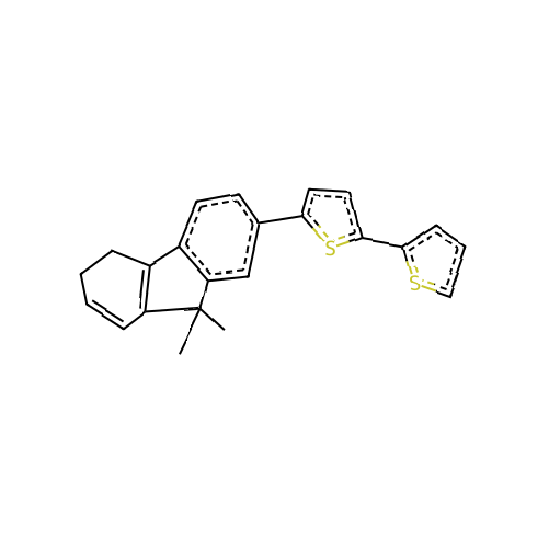 CC1(C)C2=C(CCC=C2)c2ccc(-c3ccc(-c4cccs4)s3)cc21